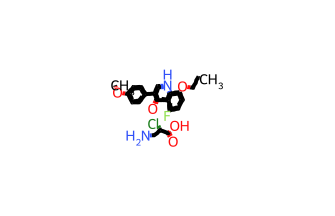 CCCOc1ccc(F)c2c(=O)c(-c3ccc(OC)cc3)c[nH]c12.NCC(Cl)C(=O)O